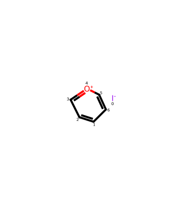 [I-].c1cc[o+]cc1